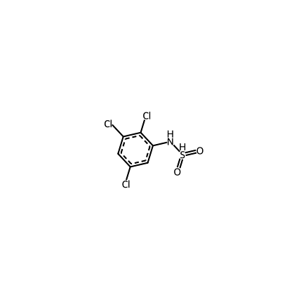 O=[SH](=O)Nc1cc(Cl)cc(Cl)c1Cl